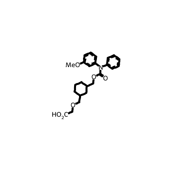 COc1cccc(N(C(=O)OCC2CCCC(COCC(=O)O)C2)c2ccccc2)c1